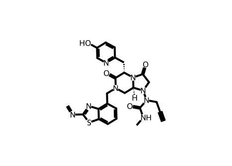 C#CCN(C(=O)NC)N1CC(=O)N2[C@@H](Cc3ccc(O)cn3)C(=O)N(Cc3cccc4sc(N=C)nc34)C[C@@H]21